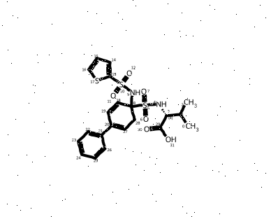 CC(C)[C@@H](NS(=O)(=O)C1(NS(=O)(=O)c2cccs2)C=CC(c2ccccc2)=CC1)C(=O)O